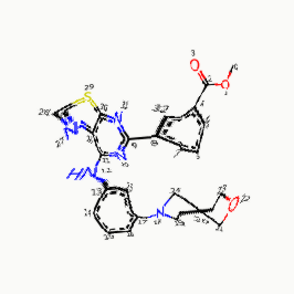 COC(=O)c1cccc(-c2nc(Nc3cccc(N4CC5(COC5)C4)c3)c3ncsc3n2)c1